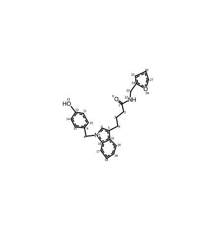 O=C(CCCc1cn(Cc2ccc(O)cc2)c2ccccc12)NCc1ccco1